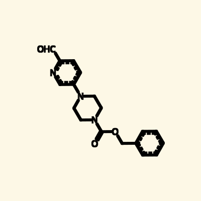 O=Cc1ccc(N2CCN(C(=O)OCc3ccccc3)CC2)cn1